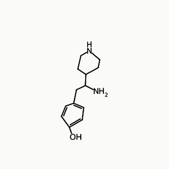 NC(Cc1ccc(O)cc1)C1CCNCC1